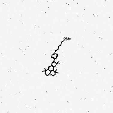 COCCCCCC[n+]1ccc(-c2cc3cc4c5c(c3oc2=O)C(C)(C)CCN5CCC4(C)C)cc1